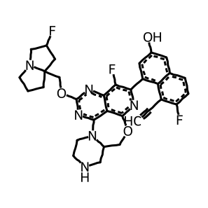 C#Cc1c(F)ccc2cc(O)cc(-c3nc4c5c(nc(OCC67CCCN6CC(F)C7)nc5c3F)N3CCNCC3CO4)c12